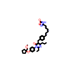 CCCc1nc(CC)n(-c2ccc(OC3(COC)CCCC3)cc2)c(=O)c1Cc1ccc(/C=C/C=C\C=C\c2noc(=O)[nH]2)cc1